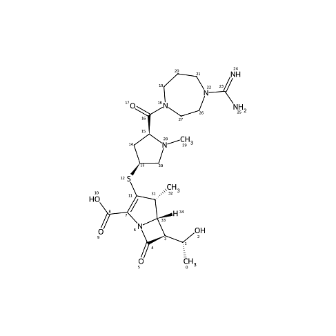 C[C@@H](O)[C@H]1C(=O)N2C(C(=O)O)=C(S[C@H]3C[C@@H](C(=O)N4CCCN(C(=N)N)CC4)N(C)C3)[C@H](C)[C@H]12